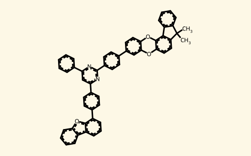 CC1(C)c2ccccc2-c2c1ccc1c2Oc2ccc(-c3ccc(-c4nc(-c5ccccc5)cc(-c5ccc(-c6cccc7c6oc6ccccc67)cc5)n4)cc3)cc2O1